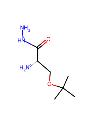 CC(C)(C)OC[C@H](N)C(=O)NN